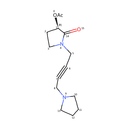 CC(=O)O[C@@H]1CCN(CC#CCN2CCCC2)C1=O